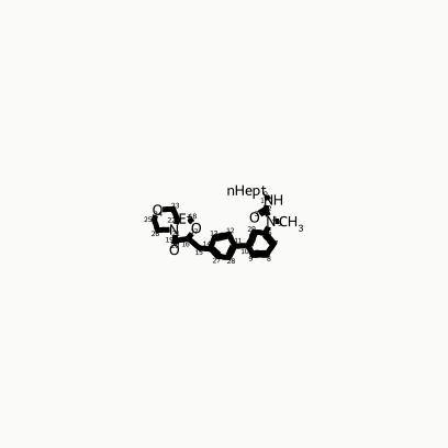 CCCCCCCNC(=O)N(C)c1cccc(-c2ccc(CC(OCC)C(=O)N3CCOCC3)cc2)c1